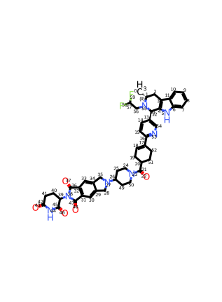 C[C@@H]1Cc2c([nH]c3ccccc23)[C@@H](c2ccc(C3=CCC(C(=O)N4CCC(N5Cc6cc7c(cc6C5)C(=O)N(C5CCC(=O)NC5=O)C7=O)CC4)CC3)nc2)N1CC(F)F